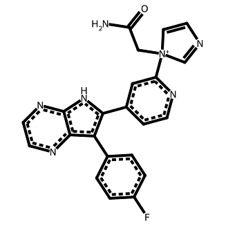 NC(=O)C[N+]1(c2cc(-c3[nH]c4nccnc4c3-c3ccc(F)cc3)ccn2)C=CN=C1